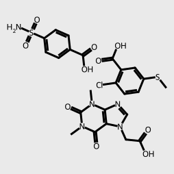 CSc1ccc(Cl)c(C(=O)O)c1.Cn1c(=O)c2c(ncn2CC(=O)O)n(C)c1=O.NS(=O)(=O)c1ccc(C(=O)O)cc1